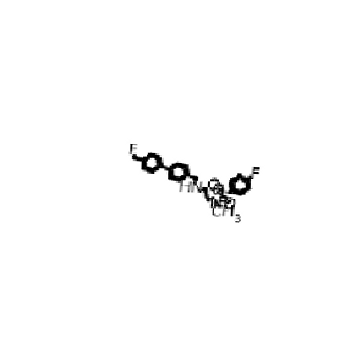 CN(CC(=O)NCc1ccc(-c2ccc(CF)cc2)cc1)S(=O)(=O)c1ccc(F)cc1